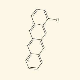 Clc1cccc2cc3cc4ccccc4cc3cc12